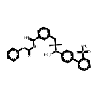 CC(C)(Cc1cccc(C(=N)NC(=O)Oc2ccccc2)c1)N(C(=O)O)c1ccc(-c2ccccc2S(N)(=O)=O)cc1